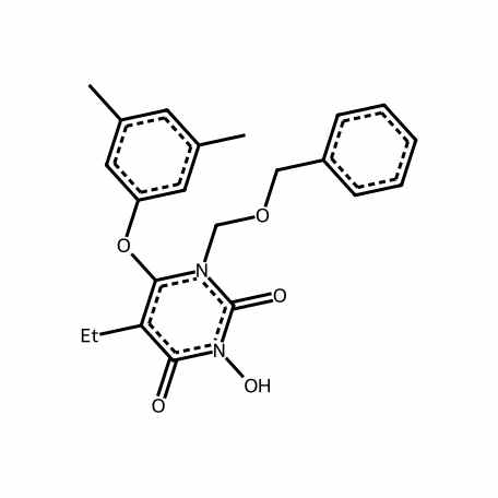 CCc1c(Oc2cc(C)cc(C)c2)n(COCc2ccccc2)c(=O)n(O)c1=O